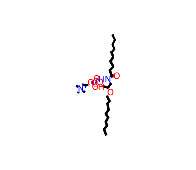 CCCCCCCCCCOC(CNC(=O)CCCCCCCCC)COP(=O)(O)OCC[N+](C)(C)C